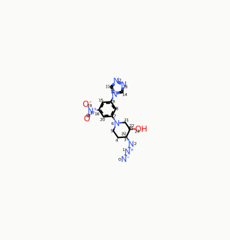 [N-]=[N+]=N[C@H]1CCN(c2cc(-n3cnnc3)cc([N+](=O)[O-])c2)C[C@H]1O